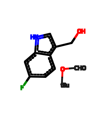 CC(C)(C)OC=O.OCc1c[nH]c2cc(F)ccc12